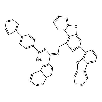 N/C(=N\C(=N/Cc1cc(-c2cccc3c2oc2ccccc23)cc2oc3ccccc3c12)C1=CC2C=CC=CC2C=C1)c1ccc(-c2ccccc2)cc1